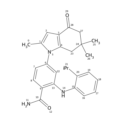 Cc1cc2c(n1-c1ccc(C(N)=O)c(Nc3ccccc3C(C)C)c1)CC(C)(C)CC2=O